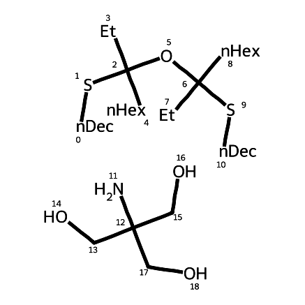 CCCCCCCCCCSC(CC)(CCCCCC)OC(CC)(CCCCCC)SCCCCCCCCCC.NC(CO)(CO)CO